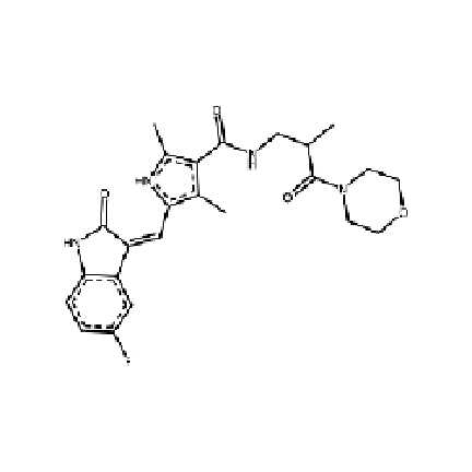 Cc1[nH]c(/C=C2\C(=O)Nc3ccc(F)cc32)c(C)c1C(=O)NCC(C)C(=O)N1CCOCC1